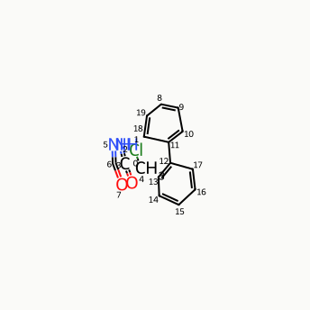 CCl.N=C=O.N=C=O.c1ccc(-c2ccccc2)cc1